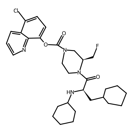 O=C(Oc1ccc(Cl)c2cccnc12)N1CCN(C(=O)[C@@H](CC2CCCCC2)NC2CCCCC2)[C@H](CF)C1